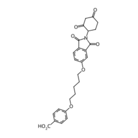 O=C1CCC(N2C(=O)c3ccc(OCCCCCOc4ccc(C(=O)O)cc4)cc3C2=O)C(=O)C1